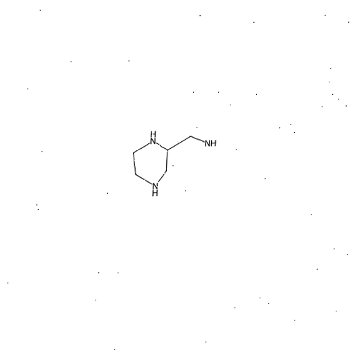 [NH]CC1CNCCN1